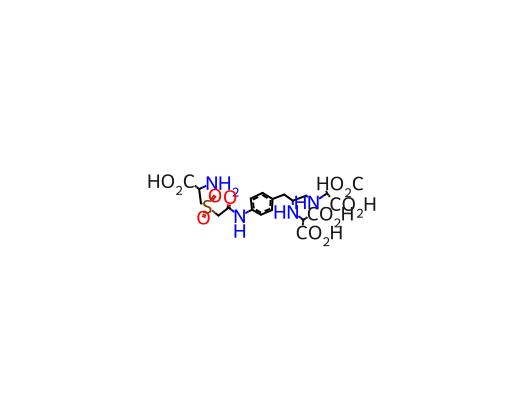 NC(CS(=O)(=O)CC(=O)Nc1ccc(CC(CNC(C(=O)O)C(=O)O)NC(C(=O)O)C(=O)O)cc1)C(=O)O